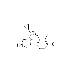 Cc1c(Cl)cccc1O[C@@H](C1CC1)[C@@H]1CCNC1